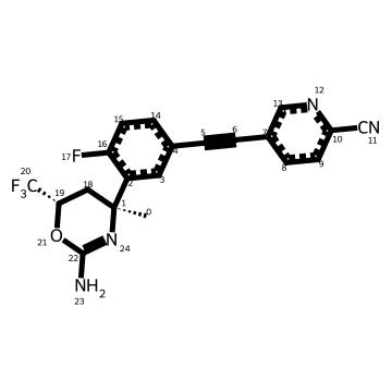 C[C@@]1(c2cc(C#Cc3ccc(C#N)nc3)ccc2F)C[C@@H](C(F)(F)F)OC(N)=N1